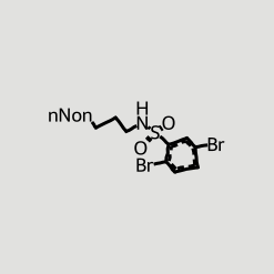 CCCCCCCCCCCCNS(=O)(=O)c1cc(Br)ccc1Br